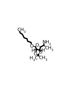 CCCCCCCO[C@H]1O[C@H]([C@H](C)N)[C@@H]2OC(C)(C)O[C@H]12